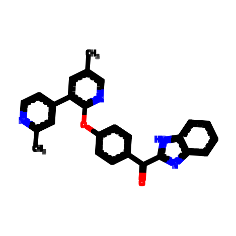 Cc1cnc(Oc2ccc(C(=O)c3nc4ccccc4[nH]3)cc2)c(-c2ccnc(C)c2)c1